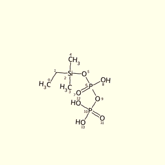 CC[Si](C)(C)OP(=O)(O)OP(=O)(O)O